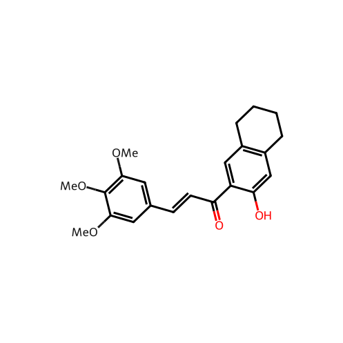 COc1cc(C=CC(=O)c2cc3c(cc2O)CCCC3)cc(OC)c1OC